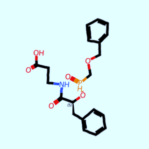 O=C(O)CCNC(=O)[C@H](Cc1ccccc1)O[PH](=O)COCc1ccccc1